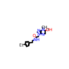 CCc1ccc(CCNC(=O)Cn2cnc3c2N=CC(O)N3C)cc1